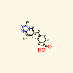 Cc1nnc2c(F)cc(CC3CCC(C(=O)O)CC3)cn12